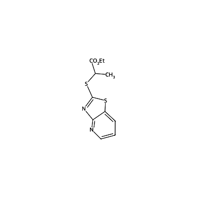 CCOC(=O)C(C)Sc1nc2ncccc2s1